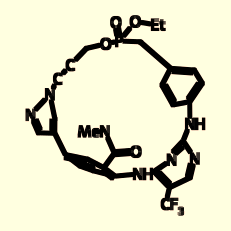 CCOP1(=O)Cc2ccc(cc2)Nc2ncc(C(F)(F)F)c(n2)Nc2ccc(cc2C(=O)NC)-c2cnn(c2)CCCO1